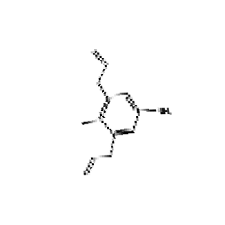 C=CCc1cc(N)cc(CC=C)c1C